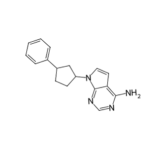 Nc1ncnc2c1ccn2C1CCC(c2ccccc2)C1